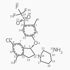 Cc1cc(O[C@@H]2c3cc(Cl)cc(F)c3C[C@H]2N2CCC[C@@H](N)C2)ccc1S(=O)(=O)C(F)(F)F